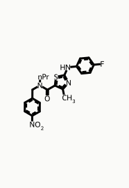 CCCN(Cc1ccc([N+](=O)[O-])cc1)C(=O)c1sc(Nc2ccc(F)cc2)nc1C